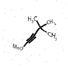 COC#CC(C)(C)C